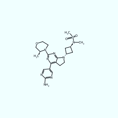 C[C@H]1COCCN1c1nc(-c2cnc(N)nc2)c2c(n1)N([C@H]1C[C@H](N(C)S(C)(=O)=O)C1)CC2